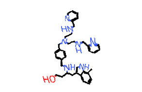 Cc1cccc2c(CC(CCO)NCc3ccc(CN(CCNCc4ccccn4)CCNCc4ccccn4)cc3)c[nH]c12